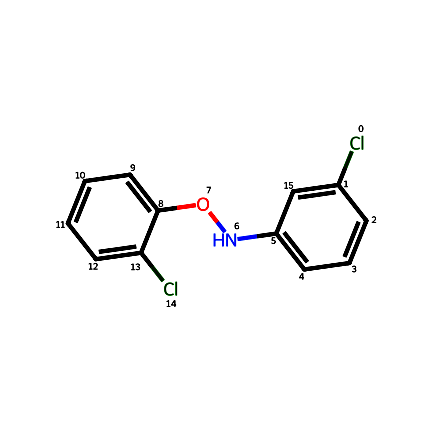 Clc1cccc(NOc2ccccc2Cl)c1